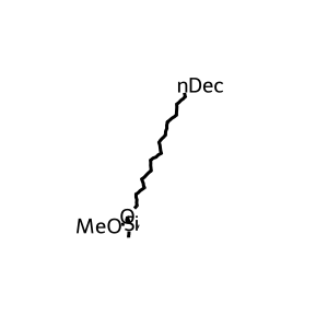 CCCCCCCCCCCCCCCCCCCCCCCO[Si](C)(C)OC